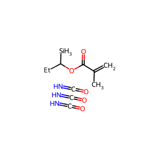 C=C(C)C(=O)OC([SiH3])CC.N=C=O.N=C=O.N=C=O